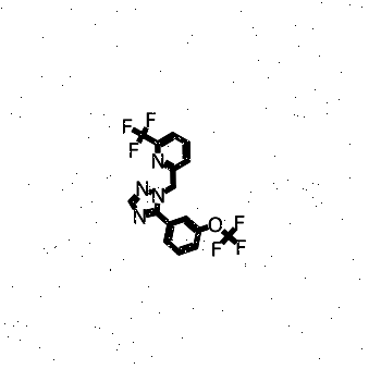 FC(F)(F)Oc1cccc(-c2ncnn2Cc2cccc(C(F)(F)F)n2)c1